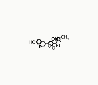 CCC(c1ccc(C)s1)c1c(O)cc(C(Cc2ccc(O)cc2)CC2CC2)oc1=O